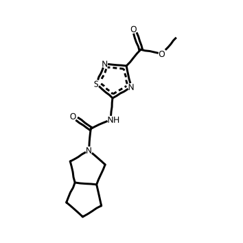 COC(=O)c1nsc(NC(=O)N2CC3CCCC3C2)n1